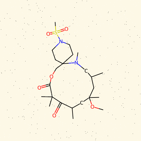 COC1(C)CC(C)CN(C)C2(CCN(S(C)(=O)=O)CC2)COC(=O)C(C)(C)C(=O)C(C)C1